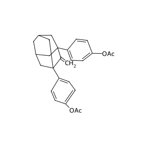 C=C1C2(c3ccc(OC(C)=O)cc3)CC3CC(C2)CC1(c1ccc(OC(C)=O)cc1)C3